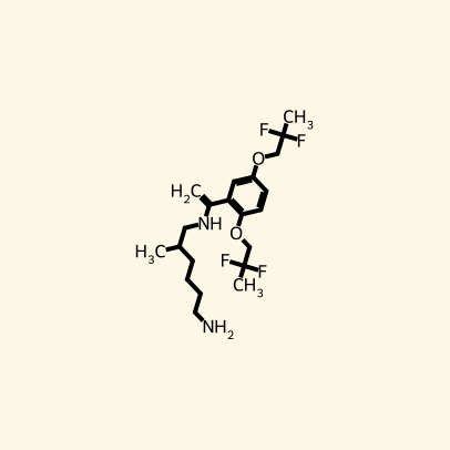 C=C(NCC(C)CCCCN)c1cc(OCC(C)(F)F)ccc1OCC(C)(F)F